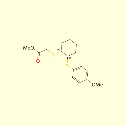 COC(=O)CS[C@@H]1CCCC[C@H]1Sc1ccc(OC)cc1